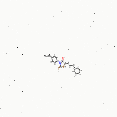 COc1ccc(N2C(=O)/C(=C/C=C/c3ccccc3)SC2=S)cc1